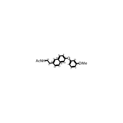 COc1cccc(Oc2ccc3cc(CCNC(C)=O)ccc3c2)c1